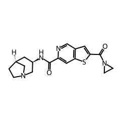 O=C(N[C@@H]1C[C@@H]2CCN(C2)C1)c1cc2sc(C(=O)N3CC3)cc2cn1